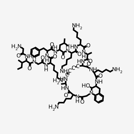 CCC(C)C(NC(=O)CN)C(=O)NCC(=O)NC(CCCCN)C(=O)NC(Cc1ccccc1)C(=O)NC(CC(C)C)C(=O)NC(CCCCN)C(=O)NC(CCCCN)C(=O)NC(C)C(=O)NC1CCCCNC(C)NC(=O)C(CCCCN)NC(=O)CN2c3ccccc3CC(NC(=O)C(CCCCN)NC1=O)C2O